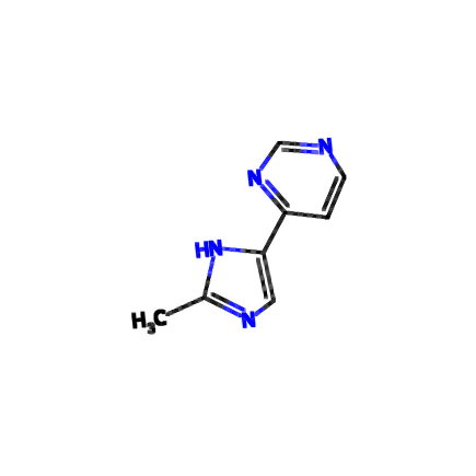 Cc1ncc(-c2ccncn2)[nH]1